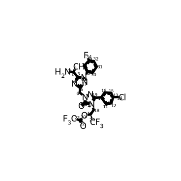 CC(N)c1nc(Cn2nc(-c3ccc(Cl)cc3)n(C[C@H](OC(=O)C(F)(F)F)C(F)(F)F)c2=O)nn1-c1cccc(F)c1